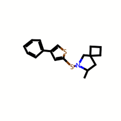 CC1CC2(CCC2)CN1Sc1cc(-c2ccccc2)cs1